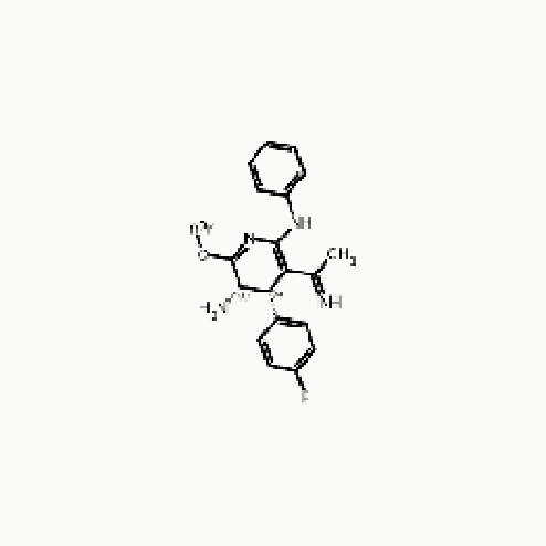 CCCOC1=NC(Nc2ccccc2)=C(C(C)=N)[C@H](c2ccc(F)cc2)[C@@H]1N